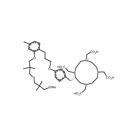 COCC(C)(C)COCC(C)(C)COc1cc(C)ccc1CCCOc1ccc(C[C@H]2CN(CC(=O)O)CCN(CC(=O)O)CCN(CC(=O)O)CCN2CC(=O)O)cc1